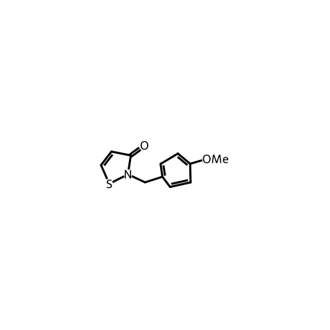 COc1ccc(Cn2sccc2=O)cc1